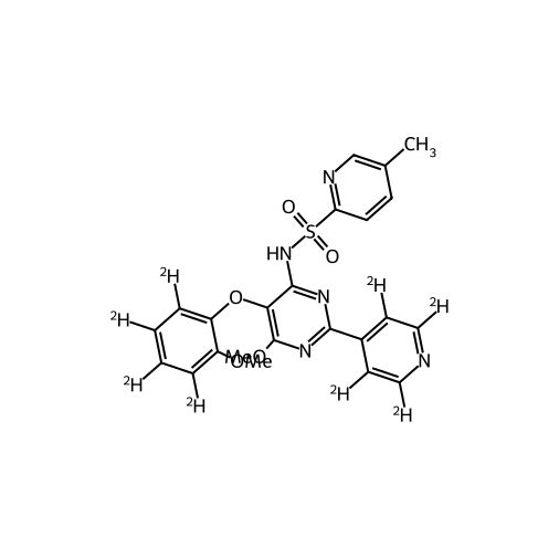 [2H]c1nc([2H])c([2H])c(-c2nc(NS(=O)(=O)c3ccc(C)cn3)c(Oc3c([2H])c([2H])c([2H])c([2H])c3OC)c(OC)n2)c1[2H]